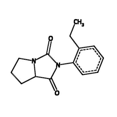 CCc1ccccc1N1C(=O)C2CCCN2C1=O